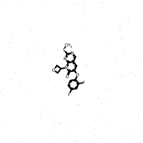 CSc1ncc2cc(Oc3ccc(F)cc3F)c(=O)n(C3COC3)c2n1